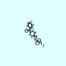 CC(=O)COC1CCC(C(=O)c2ccccc2)CC1